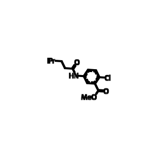 COC(=O)c1cc(NC(=O)CCC(C)C)ccc1Cl